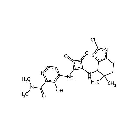 CN(C)C(=O)c1nccc(Nc2c(NC3c4sc(Cl)nc4CCC3(C)C)c(=O)c2=O)c1O